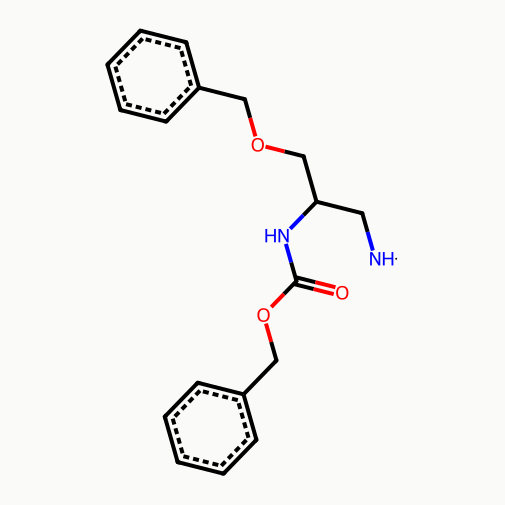 [NH]CC(COCc1ccccc1)NC(=O)OCc1ccccc1